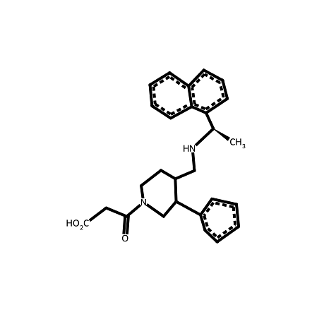 C[C@@H](NCC1CCN(C(=O)CC(=O)O)CC1c1ccccc1)c1cccc2ccccc12